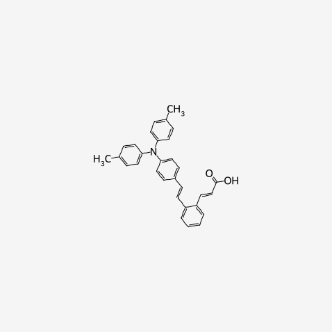 Cc1ccc(N(c2ccc(C)cc2)c2ccc(C=Cc3ccccc3C=CC(=O)O)cc2)cc1